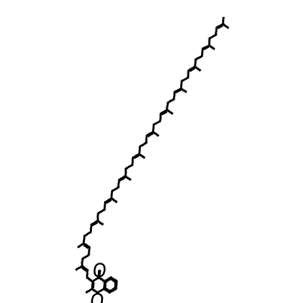 CC(C)=CCC/C(C)=C/CC/C(C)=C/CC/C(C)=C/CC/C(C)=C/CC/C(C)=C/CC/C(C)=C/CC/C(C)=C/CC/C(C)=C/CC/C(C)=C/CC/C(C)=C/CC/C(C)=C/CC1=C(C)C(=O)c2ccccc2C1=O